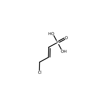 O=P(O)(O)C=CCCl